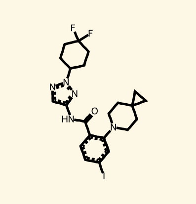 O=C(Nc1cnn(C2CCC(F)(F)CC2)n1)c1ccc(I)cc1N1CCC2(CC1)CC2